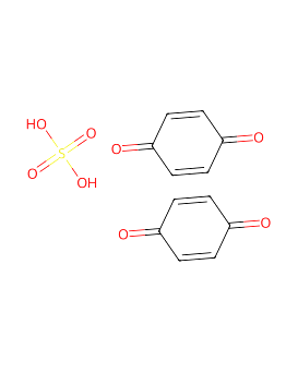 O=C1C=CC(=O)C=C1.O=C1C=CC(=O)C=C1.O=S(=O)(O)O